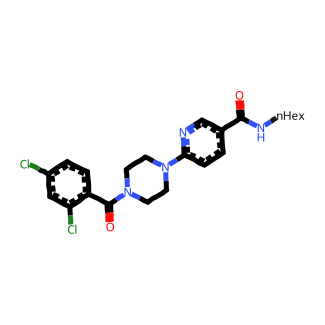 CCCCCCNC(=O)c1ccc(N2CCN(C(=O)c3ccc(Cl)cc3Cl)CC2)nc1